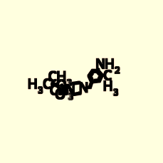 Cc1cc(CN2CCN(C(=O)OC(C)(C)C)CC2)ccc1N